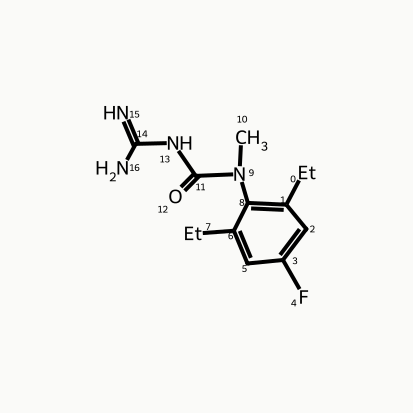 CCc1cc(F)cc(CC)c1N(C)C(=O)NC(=N)N